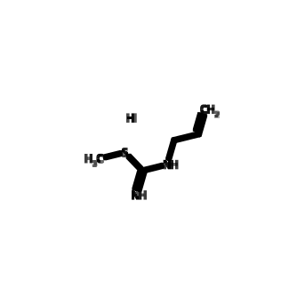 C=CCNC(=N)SC.I